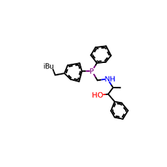 CCC(C)Cc1ccc(P(CNC(C)C(O)c2ccccc2)c2ccccc2)cc1